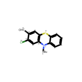 CCCCN1c2ccccc2Sc2cc(C=O)c(Cl)cc21